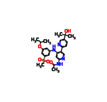 CC(=O)Nc1cc(Nc2cc(OC(C)C)cc(S(C)(=O)=O)c2)c(-c2ccc(C(C)(C)O)cn2)cn1